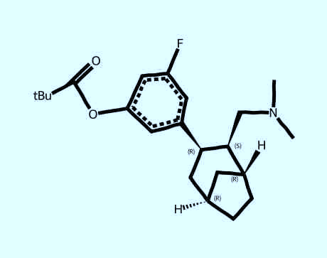 CN(C)C[C@H]1[C@@H]2CC[C@H](C2)C[C@H]1c1cc(F)cc(OC(=O)C(C)(C)C)c1